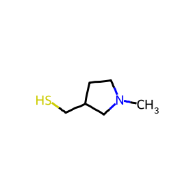 CN1CCC(CS)C1